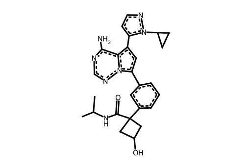 CC(C)NC(=O)C1(c2cccc(-c3cc(-c4ccnn4C4CC4)c4c(N)ncnn34)c2)CC(O)C1